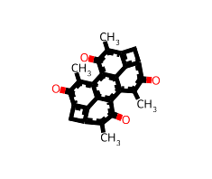 Cc1c2c3c(c(=O)c(C)c4c-3c(c1=O)c1c(C)c(=O)c3c5c(c(C)c(=O)c4c1-5)C3)C2